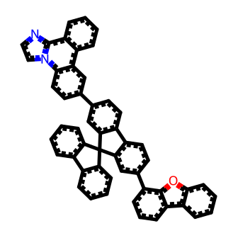 c1ccc2c(c1)-c1ccccc1C21c2cc(-c3ccc4c(c3)c3ccccc3c3nccn43)ccc2-c2ccc(-c3cccc4c3oc3ccccc34)cc21